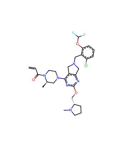 C=CC(=O)N1CCN(c2nc(OC[C@@H]3CCCN3C)nc3c2CN(Cc2c(Cl)cccc2OC(F)F)C3)C[C@H]1C